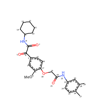 COc1cc(C(=O)C(=O)NC2CCCCC2)ccc1OCC(=O)Nc1ccc(C)c(C)c1